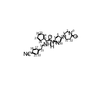 CN1CCN(c2ccc(NC(=O)[C@@H](NCCc3ccc(C#N)cc3)c3ccccc3)nc2)CCC1=O